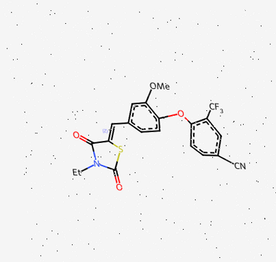 CCN1C(=O)S/C(=C\c2ccc(Oc3ccc(C#N)cc3C(F)(F)F)c(OC)c2)C1=O